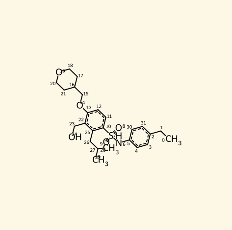 CCc1ccc(NS(=O)(=O)c2ccc(OCC3CCOCC3)c(CO)c2CC(C)C)cc1